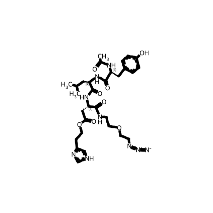 CC(=O)N[C@@H](Cc1ccc(O)cc1)C(=O)N[C@H](CC(C)C)C(=O)N[C@@H](CC(=O)OCCc1c[nH]cn1)C(=O)NCCOCCN=[N+]=[N-]